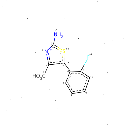 Nc1nc(C(=O)O)c(-c2ccccc2F)s1